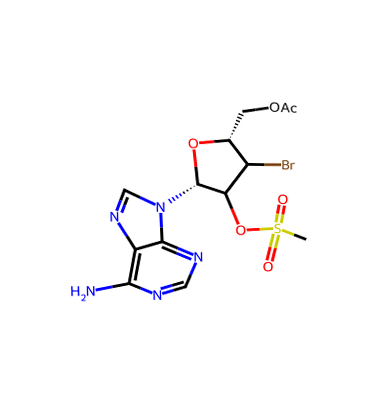 CC(=O)OC[C@H]1O[C@@H](n2cnc3c(N)ncnc32)C(OS(C)(=O)=O)C1Br